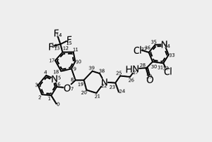 Cc1cccnc1OC(c1ccc(C(F)(F)F)cc1)C1CCN(C(C)CCNC(=O)c2c(Cl)cncc2Cl)CC1